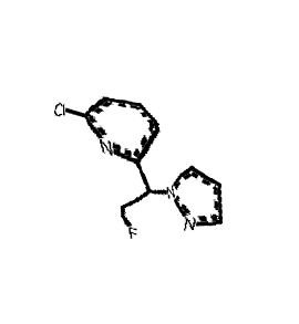 FCC(c1cccc(Cl)n1)n1cccn1